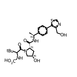 C[C@H](NC(=O)[C@@H]1C[C@@H](O)CN1C(=O)C(NC(=O)O)C(C)(C)C)c1ccc(-c2scnc2CO)cc1